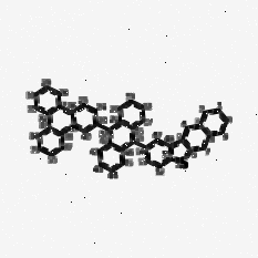 c1ccc2cc3c(cc2c1)sc1ccc(-c2c4ccccc4c(-c4ccc5c6ccccc6c6ccccc6c5c4)c4ccccc24)cc13